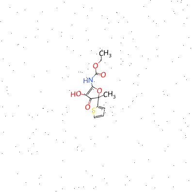 CCOC(=O)NC1=C(O)C(=O)C(C)(c2cccs2)O1